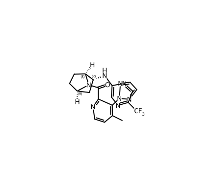 Cc1ccnc(C(=O)N2[C@@H]3CC[C@H]2[C@H](Nc2cnc(C(F)(F)F)cn2)C3)c1-n1nccn1